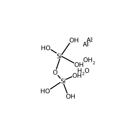 O.O.O[Si](O)(O)O[Si](O)(O)O.[Al].[Al]